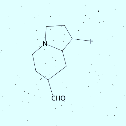 O=CC1CCN2CCC(F)C2C1